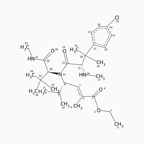 CCOC(=O)/C(C)=C/[C@H](C(C)C)N(C(=O)[C@@H](NC)C(C)(C)c1ccc(Cl)cc1)[C@H](C(=O)NC)C(C)(C)C